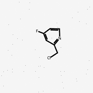 Fc1ccnc(CCl)c1